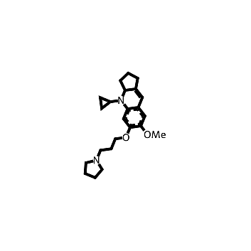 COc1cc2c(cc1OCCCN1CCCC1)N(C1CC1)C1CCCC1=C2